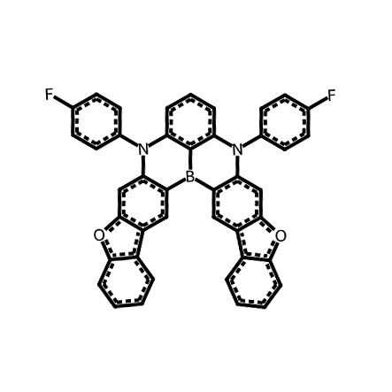 Fc1ccc(N2c3cc4oc5ccccc5c4cc3B3c4cc5c(cc4N(c4ccc(F)cc4)c4cccc2c43)oc2ccccc25)cc1